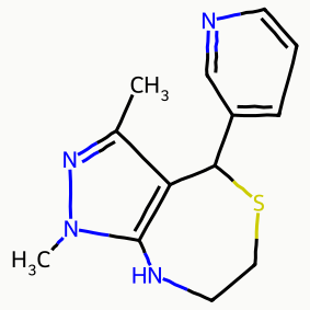 Cc1nn(C)c2c1C(c1cccnc1)SCCN2